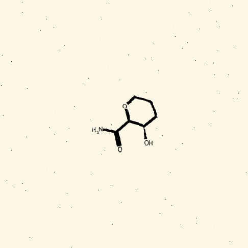 NC(=O)C1OCC[CH][C@H]1O